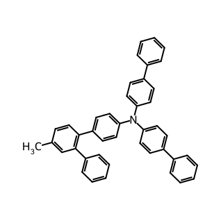 Cc1ccc(-c2ccc(N(c3ccc(-c4ccccc4)cc3)c3ccc(-c4ccccc4)cc3)cc2)c(-c2ccccc2)c1